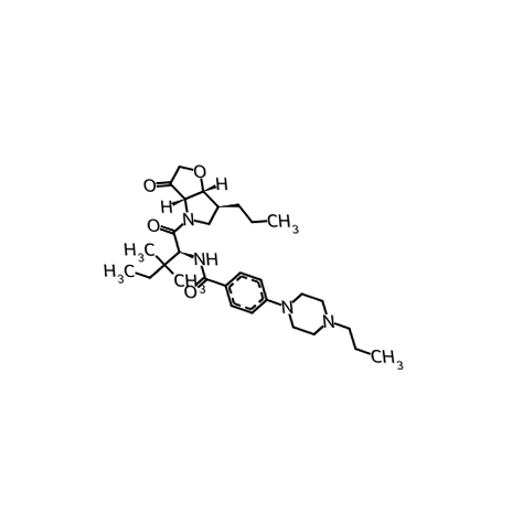 CCC[C@H]1CN(C(=O)[C@@H](NC(=O)c2ccc(N3CCN(CCC)CC3)cc2)C(C)(C)CC)[C@@H]2C(=O)CO[C@H]12